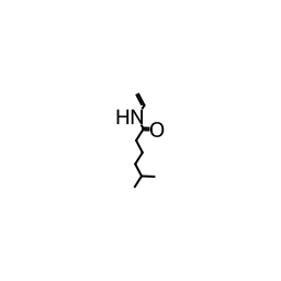 C=CNC(=O)CCCC(C)C